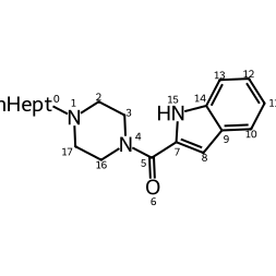 CCCCCCCN1CCN(C(=O)c2cc3ccccc3[nH]2)CC1